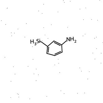 Nc1cccc([SiH3])c1